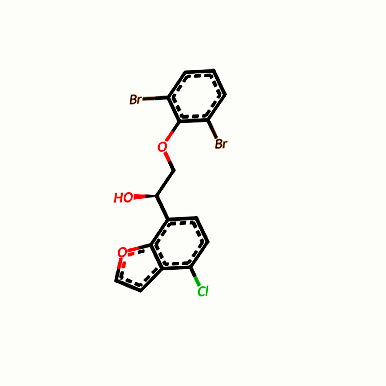 O[C@@H](COc1c(Br)cccc1Br)c1ccc(Cl)c2ccoc12